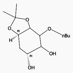 CCCCOC1C(O)[C@H](O)C[C@H]2OC(C)(C)OC12